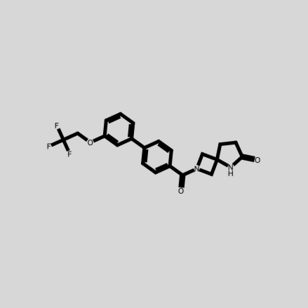 O=C1CCC2(CN(C(=O)c3ccc(-c4cccc(OCC(F)(F)F)c4)cc3)C2)N1